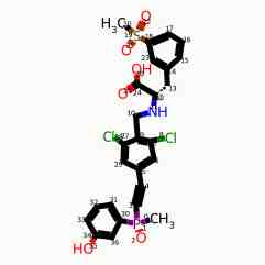 CP(=O)(C#Cc1cc(Cl)c(CN[C@@H](Cc2cccc(S(C)(=O)=O)c2)C(=O)O)c(Cl)c1)c1cccc(O)c1